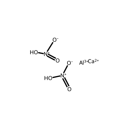 O=[N+]([O-])O.O=[N+]([O-])O.[Al+3].[Ca+2]